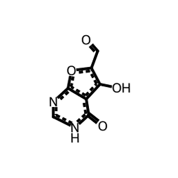 O=Cc1oc2nc[nH]c(=O)c2c1O